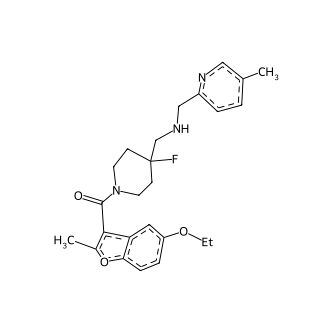 CCOc1ccc2oc(C)c(C(=O)N3CCC(F)(CNCc4ccc(C)cn4)CC3)c2c1